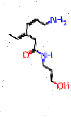 C/C=C(\C=C/CN)CC(=O)NCCCO